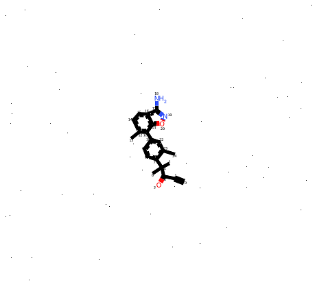 C#CC(=O)C(C)(C)c1ccc(-c2c(C)ccc3c(N)noc23)cc1C